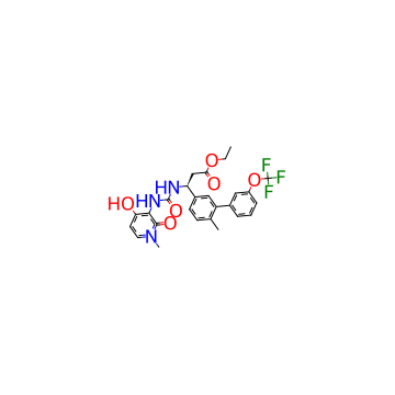 CCOC(=O)C[C@H](NC(=O)Nc1c(O)ccn(C)c1=O)c1ccc(C)c(-c2cccc(OC(F)(F)F)c2)c1